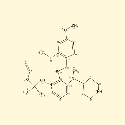 CC(C)(C)OC=O.COc1ccc(CNc2ncccc2N(C)C2CCNCC2)c(OC)c1